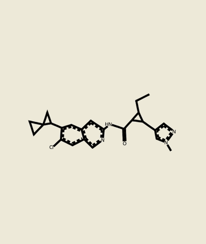 CCC1C(C(=O)Nc2cc3cc(C4CC45CC5)c(Cl)cc3cn2)C1c1cnn(C)c1